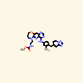 Cc1cc(Nc2ncnc3cc4c(nc23)N(CCNC(=O)OC(C)(C)C)CCCO4)ccc1Cc1ccn2ncnc2c1